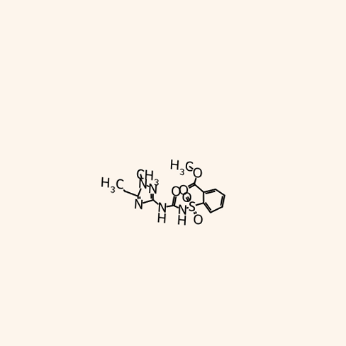 CCc1nc(NC(=O)NS(=O)(=O)c2ccccc2C(=O)OC)nn1C